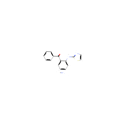 CC(N)=O.O=C(c1ccccc1)c1ccccc1Nc1nccs1